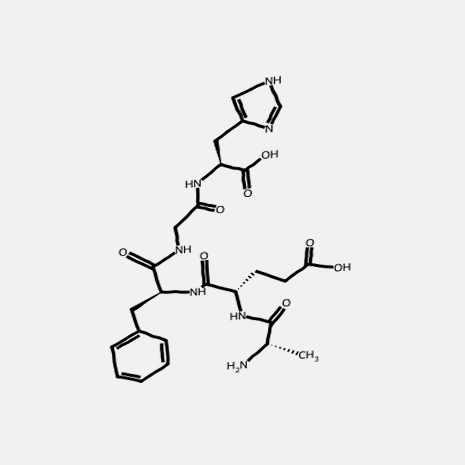 C[C@H](N)C(=O)N[C@@H](CCC(=O)O)C(=O)N[C@@H](Cc1ccccc1)C(=O)NCC(=O)N[C@@H](Cc1c[nH]cn1)C(=O)O